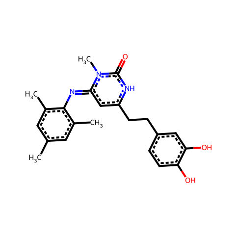 Cc1cc(C)c(N=c2cc(CCc3ccc(O)c(O)c3)[nH]c(=O)n2C)c(C)c1